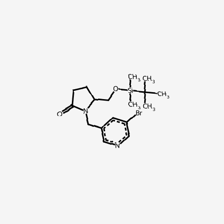 CC(C)(C)[Si](C)(C)OCC1CCC(=O)N1Cc1cncc(Br)c1